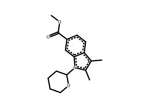 COC(=O)c1ccc2c(C)c(C)n(C3CCCCO3)c2c1